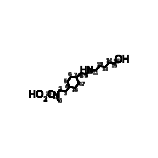 CN(CCC1CCC(CCNCCCCCO)CC1)C(=O)O